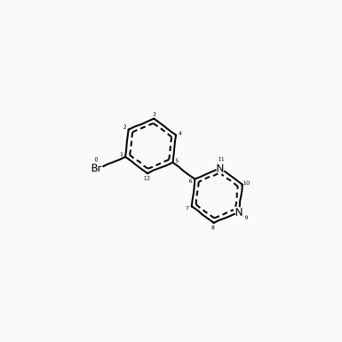 Brc1cccc(-c2ccncn2)c1